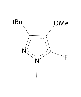 COc1c(C(C)(C)C)nn(C)c1F